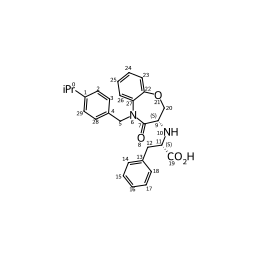 CC(C)c1ccc(CN2C(=O)[C@@H](N[C@@H](Cc3ccccc3)C(=O)O)COc3ccccc32)cc1